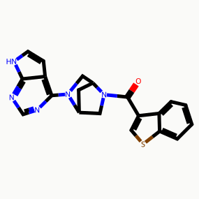 O=C(c1csc2ccccc12)N1CC2CC1CN2c1ncnc2[nH]ccc12